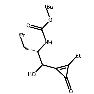 CCc1c(C(O)[C@H](CC(C)C)NC(=O)OC(C)(C)C)c1=O